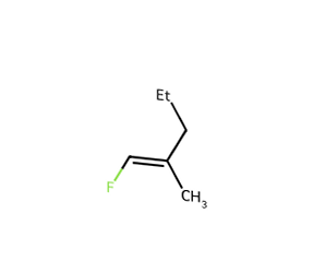 CCCC(C)=CF